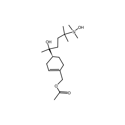 CC(=O)OCC1=CC[C@@H](C(C)(O)CCC(C)(C)[Si](C)(C)O)CC1